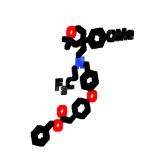 COc1ccc(C2(CCN(CCC(F)(F)F)Cc3ccc(O[C@H]4CC[C@H](CC(=O)OCc5ccccc5)CC4)cc3)CCOC(C)(C)C2)cc1